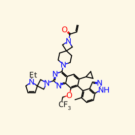 C=CC(=O)N1CC2(CCN(c3nc(N4CC5(C=CCN5CC)C4)nc4c(OCC(F)(F)F)c(-c5c(C)ccc6[nH]ncc56)c(C5CC5)cc34)CC2)C1